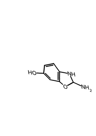 NC1Nc2ccc(O)cc2O1